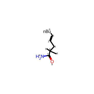 CCCCC=CCC(C)(C)C(N)=O